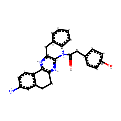 Nc1ccc2c(c1)CCc1nc(NC(=O)Cc3ccc(O)cc3)c(Cc3ccccc3)nc1-2